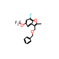 Cc1oc2c(F)cc(OC(F)(F)F)cc2c1COCc1ccccc1